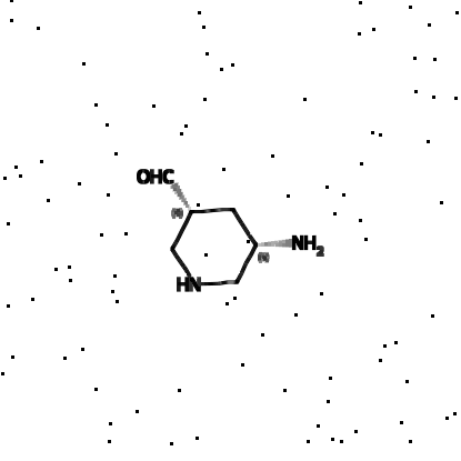 N[C@@H]1CNC[C@H](C=O)C1